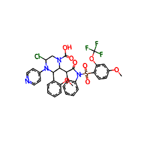 COc1ccc(S(=O)(=O)N2C(=O)C(C3C(c4ccccc4OC)N(c4ccncc4)C(Cl)CN3C(=O)O)c3ccccc32)c(OC(F)(F)F)c1